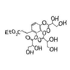 CCOC(=O)C=Cc1ccc(OC(=O)C(O)CO)c(OC(=O)C(O)CO)c1OC(=O)C(O)CO